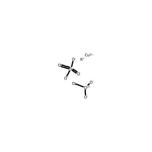 O=S(=O)([O-])[O-].[Cu+2].[K+].[O-][Cl+2]([O-])[O-]